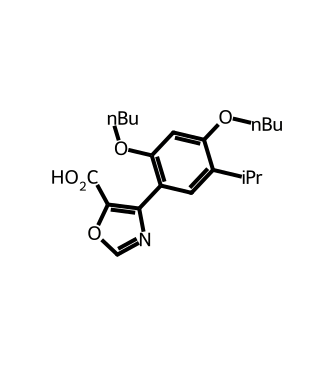 CCCCOc1cc(OCCCC)c(C(C)C)cc1-c1ncoc1C(=O)O